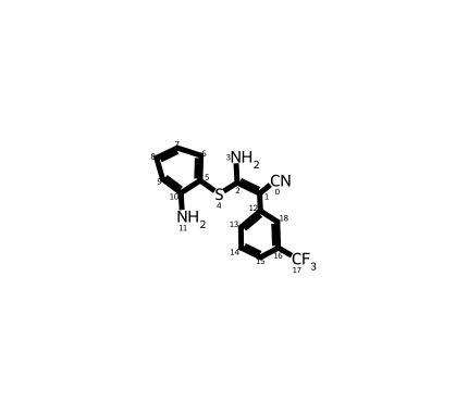 N#C/C(=C(\N)Sc1ccccc1N)c1cccc(C(F)(F)F)c1